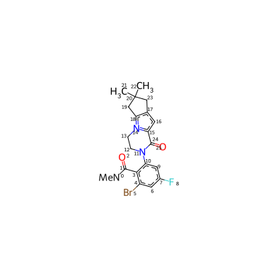 CNC(=O)c1c(Br)cc(F)cc1N1CCn2c(cc3c2CC(C)(C)C3)C1=O